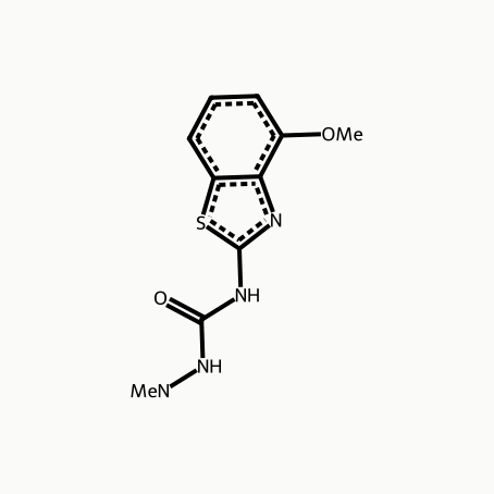 CNNC(=O)Nc1nc2c(OC)cccc2s1